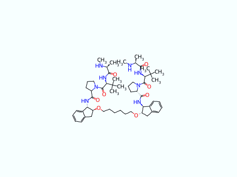 CN[C@@H](C)C(=O)N[C@H](C(=O)N1CCCC1C(=O)N[C@H]1c2ccccc2C[C@@H]1OCCCCCCO[C@H]1Cc2ccccc2[C@@H]1NC(=O)[C@@H]1CCCN1C(=O)[C@@H](NC(=O)[C@H](C)NC)C(C)(C)C)C(C)(C)C